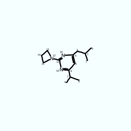 CC(C)Cc1cc(C(C)C)nc(N2CCC2)n1